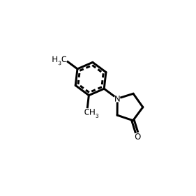 Cc1ccc(N2CCC(=O)C2)c(C)c1